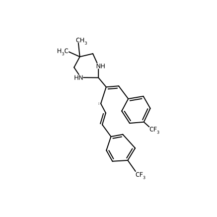 CC1(C)CNC(C([C]C=Cc2ccc(C(F)(F)F)cc2)=Cc2ccc(C(F)(F)F)cc2)NC1